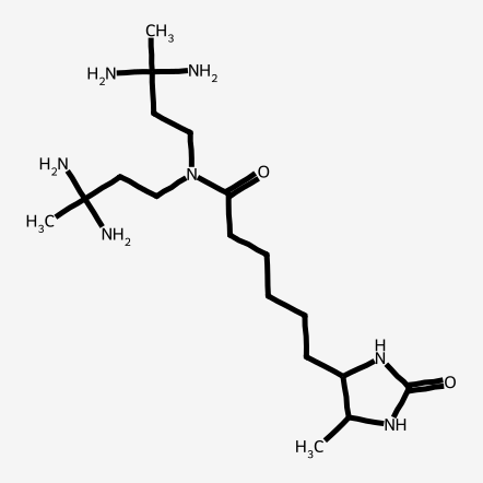 CC1NC(=O)NC1CCCCCC(=O)N(CCC(C)(N)N)CCC(C)(N)N